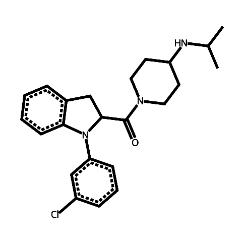 CC(C)NC1CCN(C(=O)C2Cc3ccccc3N2c2cccc(Cl)c2)CC1